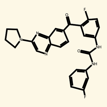 O=C(Nc1cccc(F)c1)Nc1ccc(F)c(C(=O)c2ccc3ncc(N4CCCC4)nc3c2)c1